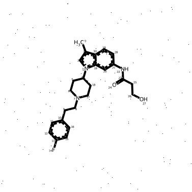 Cc1cn(C2CCN(CCc3ccc(F)cc3)CC2)c2cc(NC(=O)CCO)ccc12